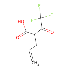 C=CCC(C(=O)O)C(=O)C(F)(F)F